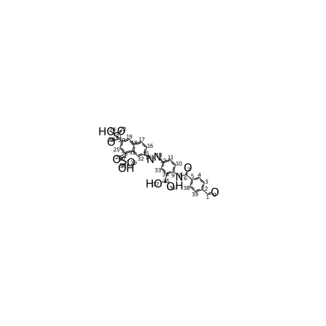 O=Cc1ccc(C(=O)Nc2ccc(/N=N/c3ccc4cc(S(=O)(=O)O)cc(S(=O)(=O)O)c4c3)cc2C(=O)O)cc1